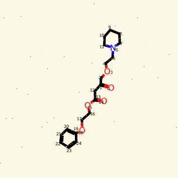 O=C(COCCN1CCCCC1)CC(=O)OCCOc1ccccc1